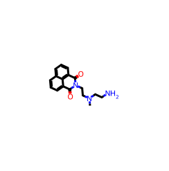 CN(CCN)CCN1C(=O)c2cccc3cccc(c23)C1=O